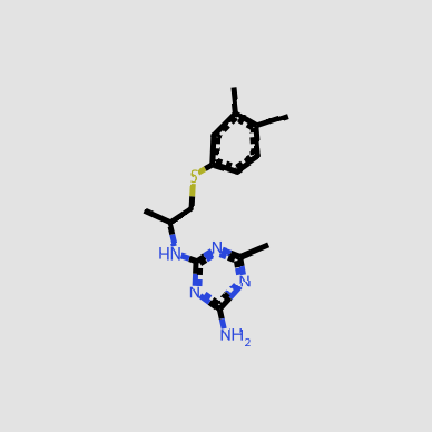 Cc1nc(N)nc(NC(C)CSc2ccc(C)c(C)c2)n1